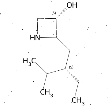 CC[C@@H](CC1NC[C@@H]1O)C(C)C